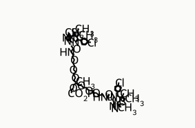 Cc1sc2c(c1C)C(c1ccc(Cl)cc1)=N[C@H](CC(=O)NCCOCCOCCOCC(C)(COCCOCCOCCNC(=O)C[C@H]1N=C(c3ccc(Cl)cc3)c3c(sc(C)c3C)-n3c(C)nnc31)COCC(=O)O)c1nnc(C)n1-2